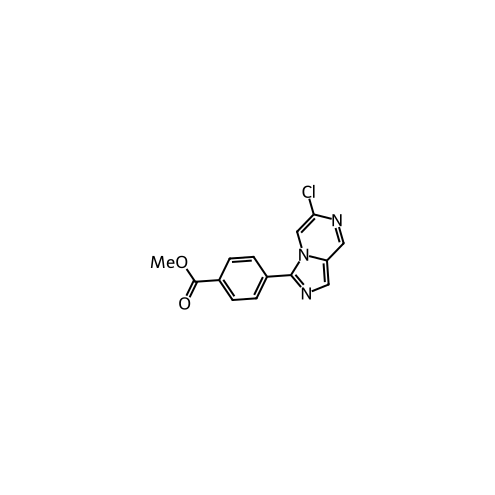 COC(=O)c1ccc(-c2ncc3cnc(Cl)cn23)cc1